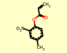 C=CC(=O)Oc1ccc(C)cc1[N+](=O)[O-]